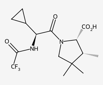 C[C@H]1[C@@H](C(=O)O)N(C(=O)[C@@H](NC(=O)C(F)(F)F)C2CC2)CC1(C)C